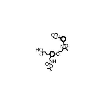 Cc1oc(-c2cccc(N3CCOCC3)c2)nc1CCOc1ccc(CCC(=O)O)c(CNC(=O)OC(C)C)c1